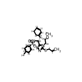 C=CCSc1nnc([C@@H](CC2=CC=CCC2)NS(=O)(=O)c2ccc(I)cc2)n1CCOC